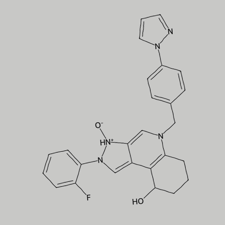 [O-][NH+]1C2=CN(Cc3ccc(-n4cccn4)cc3)C3=C(C2=CN1c1ccccc1F)C(O)CCC3